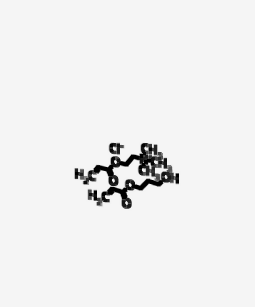 C=CC(=O)OCCCO.C=CC(=O)OCC[N+](C)(C)C.[Cl-]